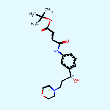 CC(C)(C)OC(=O)CCC(=O)Nc1cccc([C@H](O)CCN2CCOCC2)c1